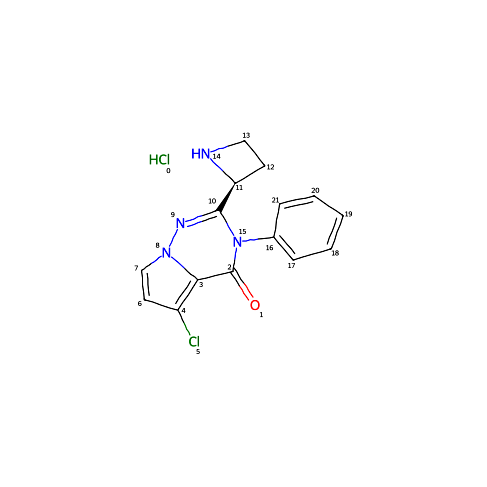 Cl.O=c1c2c(Cl)ccn2nc([C@@H]2CCN2)n1-c1ccccc1